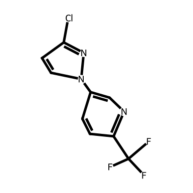 FC(F)(F)c1ccc(-n2ccc(Cl)n2)cn1